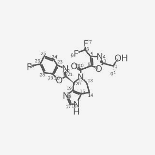 C[C@@H](O)c1nc(C(F)F)c(C(=O)N2CCc3[nH]cnc3[C@H]2c2nc3ccc(F)cc3o2)o1